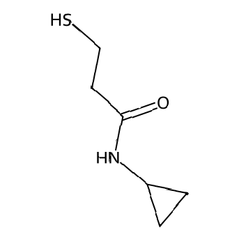 O=C(CCS)NC1CC1